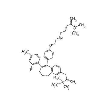 C=C(/C=C/CNCCOc1ccc(C2=C(c3ccc(C)cc3F)CCCc3cc(CC(=C)C(C)(C)C)ccc32)cc1)N(C)C